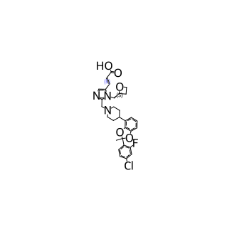 CC1(c2ccc(Cl)cc2F)Oc2cccc(C3CCN(Cc4ncc(/C=C/C(=O)O)n4C[C@@H]4CCO4)CC3)c2O1